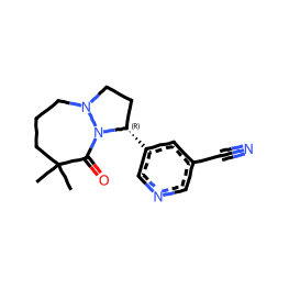 CC1(C)CCCN2CC[C@H](c3cncc(C#N)c3)N2C1=O